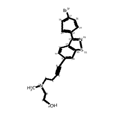 CN(CCO)CCC#Cc1ccc2c(-c3ccc(Br)cc3)nsc2c1